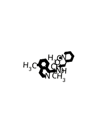 Cc1cccc2c(C(C)(C)NC(=O)C[C@@H]3CCCCN3C)nccc12